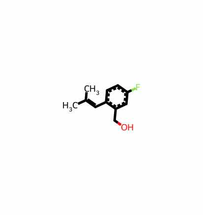 CC(C)=Cc1ccc(F)cc1CO